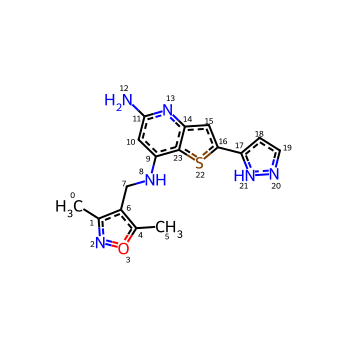 Cc1noc(C)c1CNc1cc(N)nc2cc(-c3ccn[nH]3)sc12